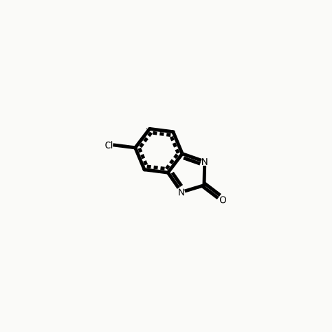 O=C1N=c2c[c]c(Cl)cc2=N1